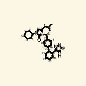 CC(C)Cc1cn(C2CCCCC2)c(=O)n1Cc1ccc(-c2ccccc2-c2nnn[nH]2)cc1